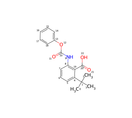 CC(C)(C)c1cccc(NC(=O)Oc2ccccc2)c1C(=O)O